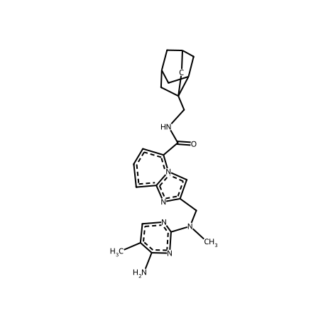 Cc1cnc(N(C)Cc2cn3c(C(=O)NCC45CC6CC(CC4C6)C5)cccc3n2)nc1N